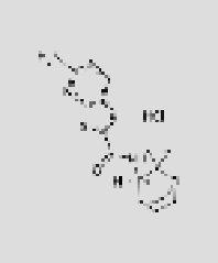 Cl.Nc1ncc2cc(C(=O)N[C@@H]3C4CCN(CC4)C34CC4)sc2n1